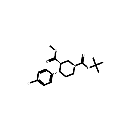 COC(=O)[C@H]1CN(C(=O)OC(C)(C)C)CC[C@@H]1c1ccc(Cl)cc1